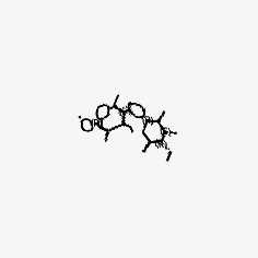 CC[C@@H]1C(C)C[C@@H](O[C@@H]2C(C)O[C@@H](OC)C(C)C2C)C(C)[C@H]1C